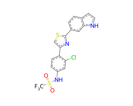 O=S(=O)(Nc1ccc(-c2csc(-c3ccc4cc[nH]c4c3)n2)c(Cl)c1)C(F)(F)F